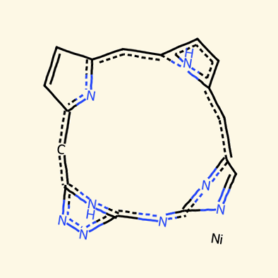 C1=Cc2cc3nnc(nc4nc(cc5ccc(cc1n2)[nH]5)C=N4)[nH]3.[Ni]